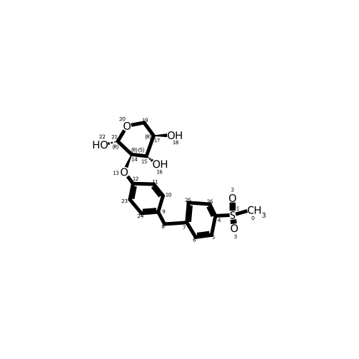 CS(=O)(=O)c1ccc(Cc2ccc(O[C@@H]3[C@@H](O)[C@H](O)CO[C@H]3O)cc2)cc1